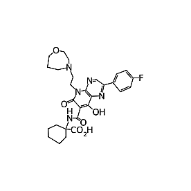 O=C(NC1(C(=O)O)CCCCC1)c1c(O)c2nc(-c3ccc(F)cc3)cnc2n(CCN2CCCOCC2)c1=O